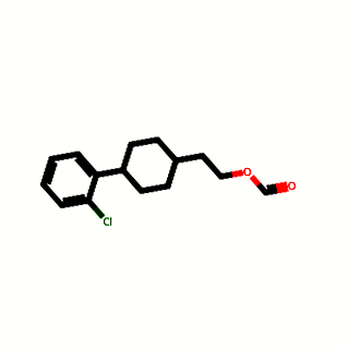 O=COCCC1CCC(c2ccccc2Cl)CC1